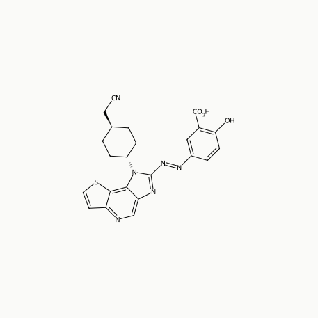 N#CC[C@H]1CC[C@H](n2c(/N=N/c3ccc(O)c(C(=O)O)c3)nc3cnc4ccsc4c32)CC1